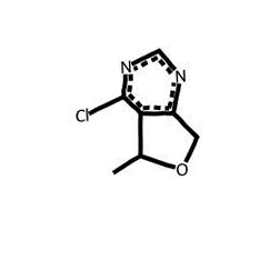 CC1OCc2ncnc(Cl)c21